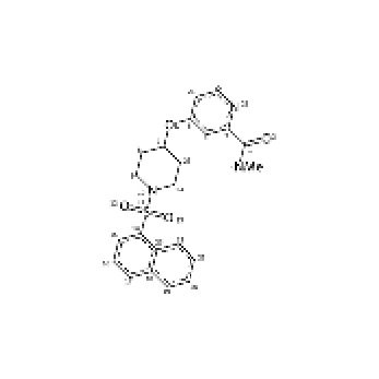 CNC(=O)c1cc(OC2CCN(S(=O)(=O)c3cccc4ccccc34)CC2)ccn1